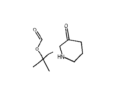 CC(C)(C)OC=O.O=C1CCCNC1